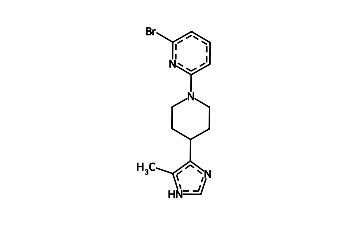 Cc1[nH]cnc1C1CCN(c2cccc(Br)n2)CC1